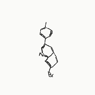 Cc1ccc(-c2cnc3cc(Br)ccc3c2)cc1